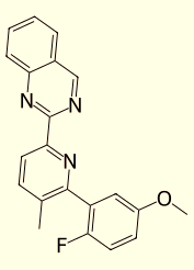 COc1ccc(F)c(-c2nc(-c3ncc4ccccc4n3)ccc2C)c1